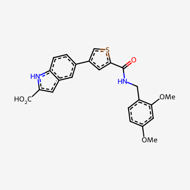 COc1ccc(CNC(=O)c2cc(-c3ccc4[nH]c(C(=O)O)cc4c3)cs2)c(OC)c1